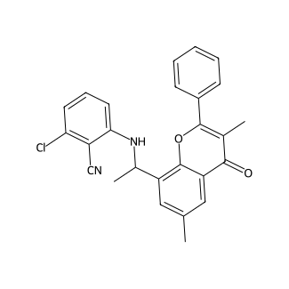 Cc1cc(C(C)Nc2cccc(Cl)c2C#N)c2oc(-c3ccccc3)c(C)c(=O)c2c1